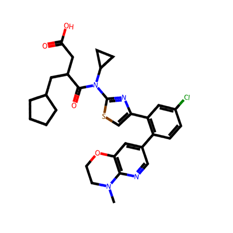 CN1CCOc2cc(-c3ccc(Cl)cc3-c3csc(N(C(=O)C(CC(=O)O)CC4CCCC4)C4CC4)n3)cnc21